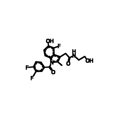 Cc1c(CC(=O)NCCO)c2c(F)c(O)ccc2n1C(=O)c1ccc(F)c(F)c1